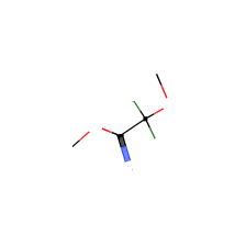 COC(=N)C(Cl)(Cl)OC